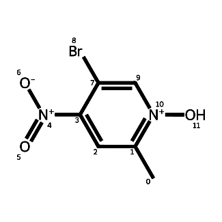 Cc1cc([N+](=O)[O-])c(Br)c[n+]1O